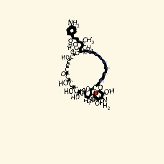 C[C@H]1/C=C/C=C/C=C/C=C\C=C/C=C/C=C/[C@H](O[C@@H]2O[C@H](C)[C@@H](O)[C@H](N)[C@@H]2O)CC2O[C@](O)(C[C@@H](O)C[C@@H](O)C[C@@H](O)CC(=O)CCCC(O)CC(=O)O[C@@H]1[C@@H](C)C[C@H](C)[C@@H](O)CC(=O)c1ccc(N)cc1)C[C@H](O)[C@H]2C(=O)O